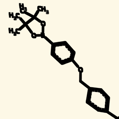 CC1(C)OB(c2ccc(OCc3ccc(C#N)cc3)cc2)OC1(C)C